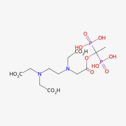 CC(OC(=O)CN(CCN(CC(=O)O)CC(=O)O)CC(=O)O)(P(=O)(O)O)P(=O)(O)O